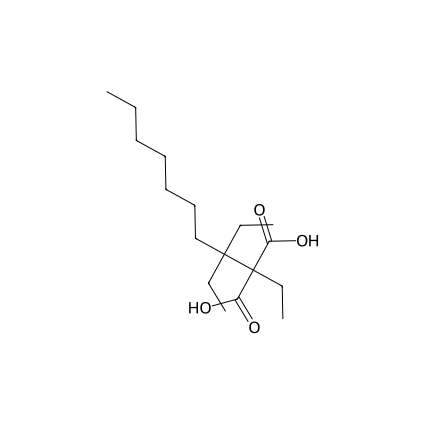 CCCCCCCC(CC)(CC)C(CC)(C(=O)O)C(=O)O